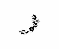 Nc1ncc(-c2ccc(OCCN3CCNCC3)cc2)nc1C(=O)Nc1cccnc1